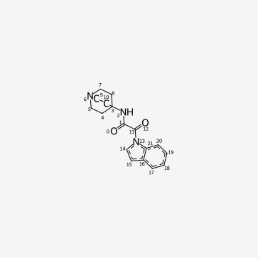 O=C(NC12CCN(CC1)CC2)C(=O)n1ccc2ccccc21